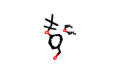 CC(C)(C)[Si](C)(C)Oc1ccc(C=O)cc1.[SiH3]O[SiH3]